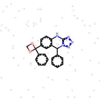 c1ccc(C2c3cc(C4(c5ccccc5)OCO4)ccc3Nc3nnnn32)cc1